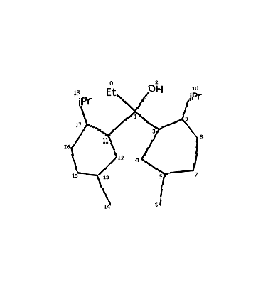 CCC(O)(C1CC(C)CCC1C(C)C)C1CC(C)CCC1C(C)C